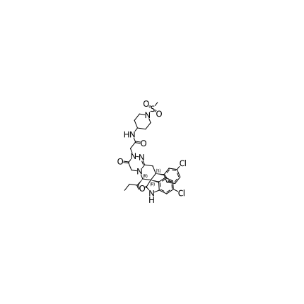 C=C(CC)[C@H]1N2CC(=O)N(CC(=O)NC3CCN(S(C)(=O)=O)CC3)N=C2C[C@@H](c2cccc(Cl)c2)[C@]12C(=O)Nc1cc(Cl)ccc12